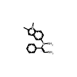 Cc1cc2cc(N(N)/C(=C\N)c3ccccc3)ccc2n1C